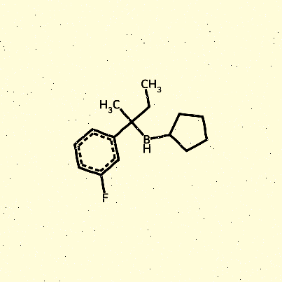 CCC(C)(BC1CCCC1)c1cccc(F)c1